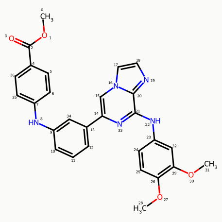 COC(=O)c1ccc(Nc2cccc(-c3cn4ccnc4c(Nc4ccc(OC)c(OC)c4)n3)c2)cc1